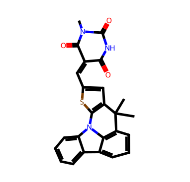 CN1C(=O)NC(=O)/C(=C\c2cc3c(s2)-n2c4ccccc4c4cccc(c42)C3(C)C)C1=O